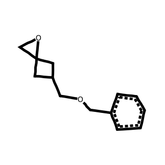 c1ccc(COCC2CC3(CO3)C2)cc1